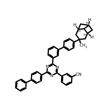 CC1(c2ccc(-c3cccc(-c4nc(-c5ccc(-c6ccccc6)cc5)nc(-c5cccc(C#N)c5)n4)c3)cc2)C[C@H]2C[C@H]3C[C@@H](C1)C32